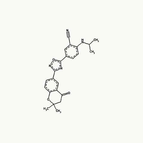 CC(C)Nc1ccc(-c2nc(-c3ccc4c(c3)C(=O)CC(C)(C)O4)no2)cc1C#N